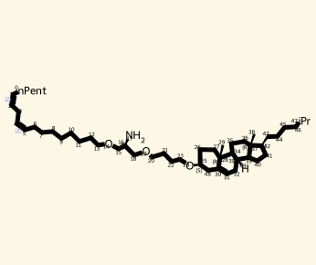 CCCCC/C=C\C/C=C\CCCCCCCCOC[C@@H](N)COCCCCO[C@H]1CC[C@@]2(C)C(=CC[C@@H]3C2CC[C@@]2(C)C3CC[C@@H]2CCCCC(C)C)C1